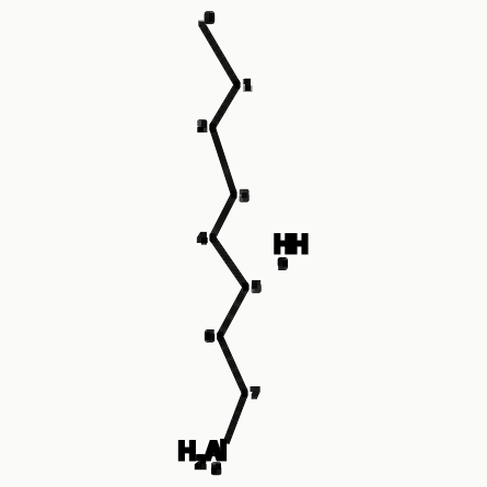 CCCCCCC[CH2][AlH2].[HH]